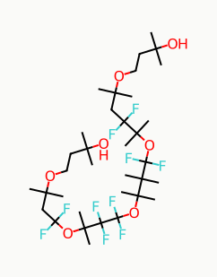 CC(C)(O)CCOC(C)(C)CC(F)(F)OC(C)(C)C(F)(F)C(F)(F)OC(C)(C)C(C)(C)C(F)(F)OC(C)(C)C(F)(F)CC(C)(C)OCCC(C)(C)O